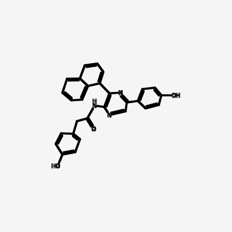 O=C(Cc1ccc(O)cc1)Nc1ncc(-c2ccc(O)cc2)nc1-c1cccc2ccccc12